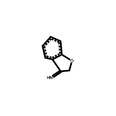 N=C1COc2ccccc21